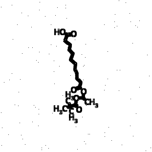 CC(OC(=O)CCCCCCCCCCC(=O)O)OC(=O)C(C)(C)C